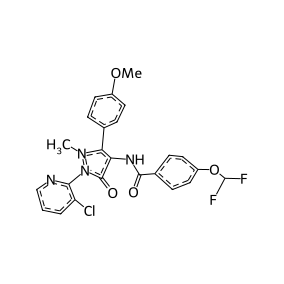 COc1ccc(-c2c(NC(=O)c3ccc(OC(F)F)cc3)c(=O)n(-c3ncccc3Cl)n2C)cc1